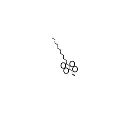 C=CC(=O)C(=O)C(=O)C(=O)CCCCCCCCCC